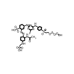 CC(=O)Nc1cc(NCS(=O)(=O)O)ccc1/N=N/c1cc(Nc2nc(F)nc(Nc3ccc(S(=O)(=O)CCOSOOO)cc3)n2)ccc1S(=O)(=O)O